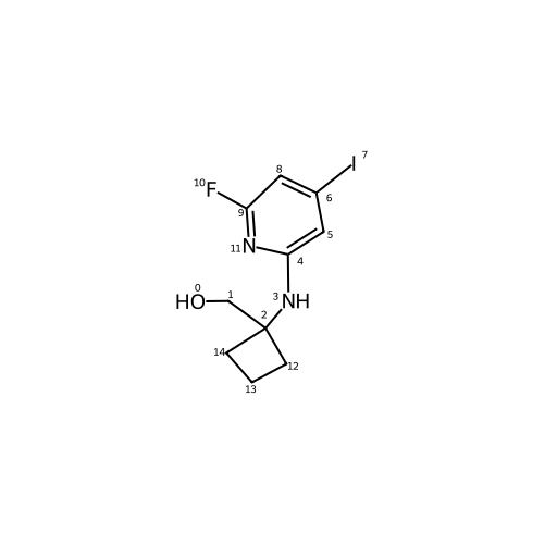 OCC1(Nc2cc(I)cc(F)n2)CCC1